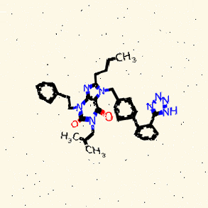 CCCCc1nc2c(c(=O)n(CC(C)C)c(=O)n2CCc2ccccc2)n1Cc1ccc(-c2ccccc2-c2nnn[nH]2)cc1